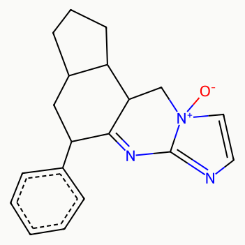 [O-][N+]12C=CN=C1N=C1C(c3ccccc3)CC3CCCC3C1C2